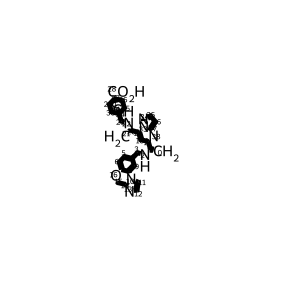 C=C(NCc1ccc2c(c1)-n1ccnc1CO2)c1cc(C(=C)NCC23CCC(C(=O)O)(CC2)CC3)n2nccc2n1